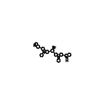 Brc1cc(-c2ccc3c(c2)c2ccc(C4=CNC5C=CC=CC5=C4)cc2n3-c2ccccc2)cc(-c2ccc3c(c2)c2ccc(-c4ccc5ncccc5c4)cc2n3-c2ccccc2)c1